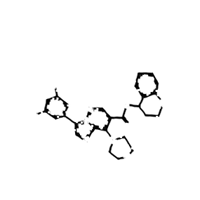 O=C(NC1CCOc2ccccc21)c1cnn2c(-c3cc(Cl)cc(Cl)c3)cnc2c1N1CCOCC1